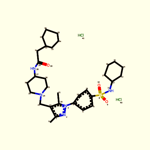 Cc1nn(-c2ccc(S(=O)(=O)NC3CCCCC3)cc2)c(C)c1CN1CCC(NC(=O)CC2CCCCC2)CC1.Cl.Cl